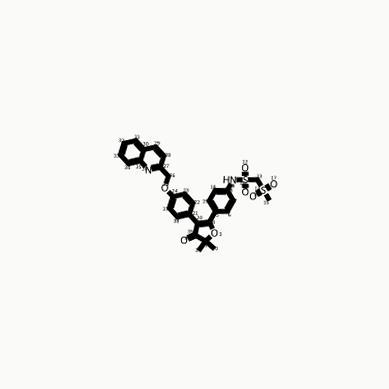 CC1(C)OC(c2ccc(NS(=O)(=O)CS(C)(=O)=O)cc2)=C(c2ccc(OCc3ccc4ccccc4n3)cc2)C1=O